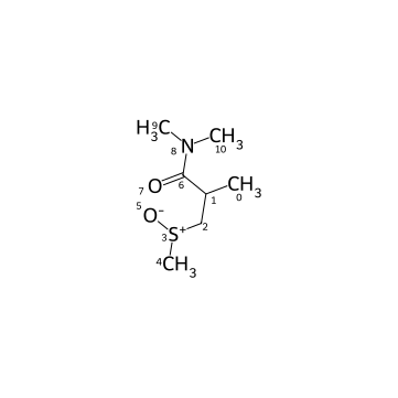 CC(C[S+](C)[O-])C(=O)N(C)C